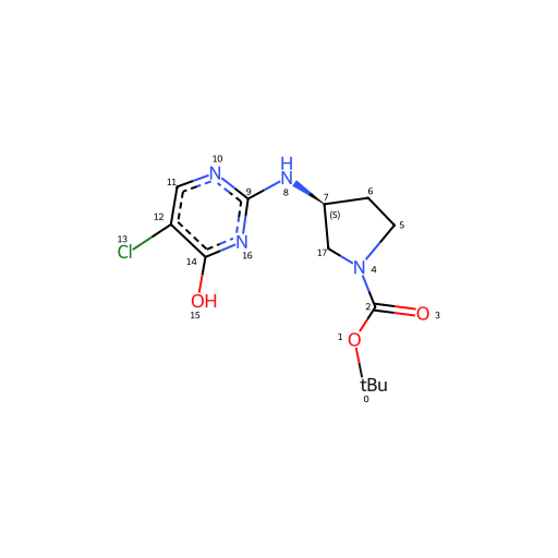 CC(C)(C)OC(=O)N1CC[C@H](Nc2ncc(Cl)c(O)n2)C1